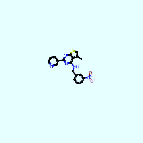 Cc1csc2nc(-c3cccnc3)nc(NCc3cccc([N+](=O)[O-])c3)c12